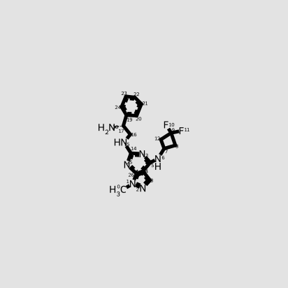 Cn1ncc2c(NC3CC(F)(F)C3)nc(NC[C@H](N)c3ccccc3)nc21